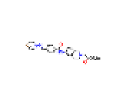 COC(=O)CN1CCc2cc(NC(=O)c3ccc(C=NN4CCSCC4)cc3)ccc2C1